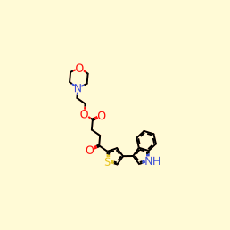 O=C(CCC(=O)c1cc(-c2c[nH]c3ccccc23)cs1)OCCN1CCOCC1